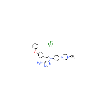 CN1CCN([C@H]2CC[C@H](n3cc(-c4ccc(Oc5ccccc5)cc4)c4c(N)ncnc43)CC2)CC1.Cl.Cl.Cl